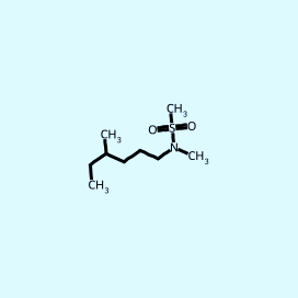 CCC(C)CCCN(C)S(C)(=O)=O